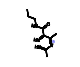 CCCNC(=O)C(=N)/C(C)=N\C(C)=N